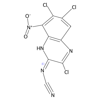 N#C/N=c1/[nH]c2c([N+](=O)[O-])c(Cl)c(Cl)cc2nc1Cl